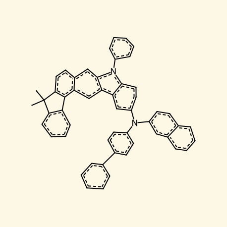 CC1(C)c2ccccc2-c2c1ccc1cc3c(cc21)c1cc(N(c2ccc(-c4ccccc4)cc2)c2ccc4ccccc4c2)ccc1n3-c1ccccc1